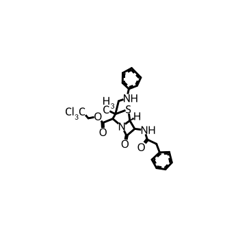 CC1(CNc2ccccc2)S[C@@H]2C(NC(=O)Cc3ccccc3)C(=O)N2C1C(=O)OCC(Cl)(Cl)Cl